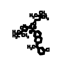 C[C@H](c1cccc(Cl)c1)N1CCc2ccc(S(=O)(=O)N(COCC[Si](C)(C)C)c3cc(C(C)(C)C)on3)cc2C1